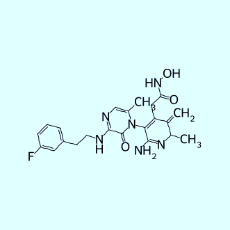 C=C1C(CC(=O)NO)=C(n2c(C)cnc(NCCc3cccc(F)c3)c2=O)C(N)=NC1C